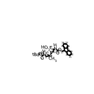 CC(C)(C)OC(=O)NCC(C)(C)SSC[C@H](NC(=O)OCC1c2ccccc2-c2ccccc21)C(=O)O